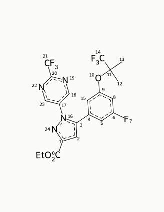 CCOC(=O)c1cc(-c2cc(F)cc(OC(C)(C)C(F)(F)F)c2)n(-c2cnc(C(F)(F)F)nc2)n1